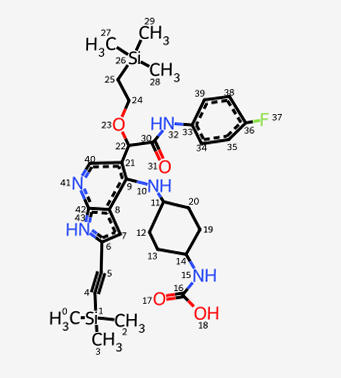 C[Si](C)(C)C#Cc1cc2c(NC3CCC(NC(=O)O)CC3)c(C(OCC[Si](C)(C)C)C(=O)Nc3ccc(F)cc3)cnc2[nH]1